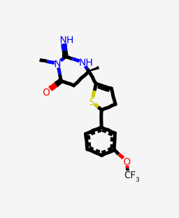 CN1C(=N)N[C@](C)(C2=CCC(c3cccc(OC(F)(F)F)c3)S2)CC1=O